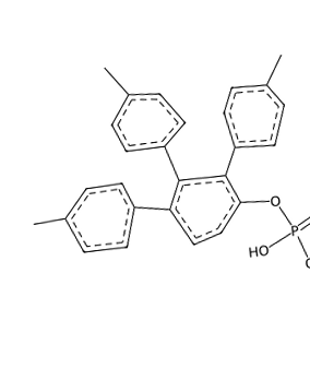 Cc1ccc(-c2ccc(OP(=O)(O)O)c(-c3ccc(C)cc3)c2-c2ccc(C)cc2)cc1